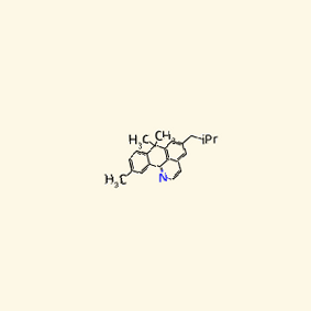 Cc1ccc2c(c1)-c1nccc3cc(CC(C)C)cc(c13)C2(C)C